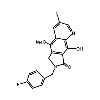 COc1c2c(c(O)c3ncc(F)cc13)C(=O)N(Cc1ccc(F)cc1)C2